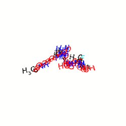 CC[C@@]1(O)C(=O)OCc2c1cc1n(c2=O)Cc2c-1nc1cc(F)c(C)c3c1c2[C@@H](NC(=O)COCNC(=O)[C@H](CO)NC(=O)OCc1ccc(NC(=O)[C@H](CCCNC(N)=O)NC(=O)[C@@H](NC(=O)CCOCCOCCOCCOCCNC(=O)COC2/C=C(/C)CCCCC2)C(C)C)cc1)CC3